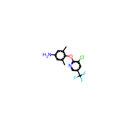 Cc1cc(N)cc(C)c1Oc1ncc(C(F)(F)F)cc1Cl